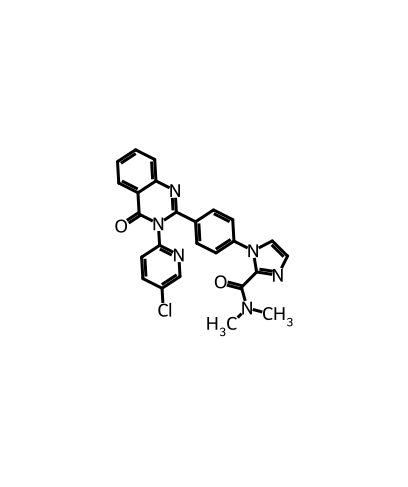 CN(C)C(=O)c1nccn1-c1ccc(-c2nc3ccccc3c(=O)n2-c2ccc(Cl)cn2)cc1